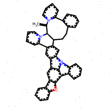 C=C1C2C(CCc3ccccc3-c3cccc[n+]31)c1cc3c(cc1-c1cccc[n+]12)c1cc2c4ccccc4oc2c2c4ccccc4n3c12